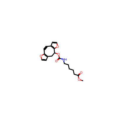 COC(=O)CCCCCNC(=O)OC1Cc2ccoc2C#Cc2ccoc21